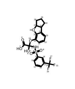 O=C(O)C(O)(NS(=O)(=O)c1cccc(C(F)(F)F)c1)Oc1cccc2c1OC1CCCC21